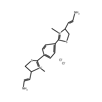 C[N+]1=C(c2ccc(C3=[N+](C)C(C=CN)CS3)cc2)SCC1C=CN.[Cl-].[Cl-]